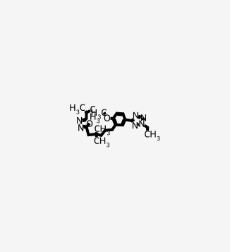 CCn1nnc(-c2ccc(OC)c(CCCC(C)(C)Cc3nnc(C(C)C)o3)c2)n1